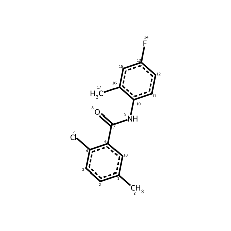 Cc1ccc(Cl)c(C(=O)Nc2ccc(F)cc2C)c1